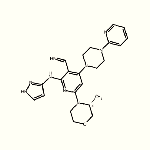 C[C@@H]1COCCN1c1cc(N2CCN(c3ccccn3)CC2)c(C=N)c(Nc2cc[nH]n2)n1